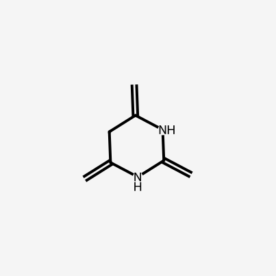 C=C1CC(=C)NC(=C)N1